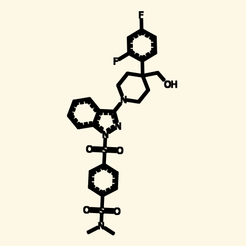 CN(C)S(=O)(=O)c1ccc(S(=O)(=O)n2nc(N3CCC(CO)(c4ccc(F)cc4F)CC3)c3ccccc32)cc1